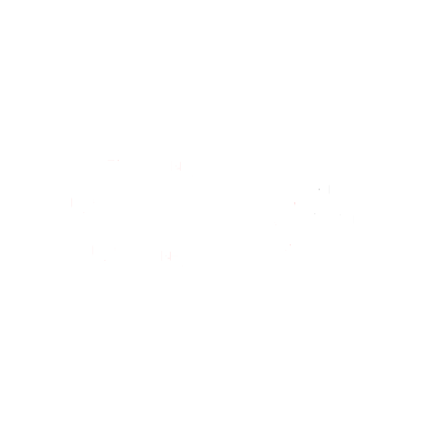 Bc1c(B)c(O)c(B)c(-c2ccc(B3OC(C)(C)C(C)(C)O3)cc2)c1B